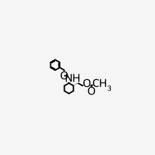 CC(=O)OCC[C@@H]1CCCC[C@H]1NOCc1ccccc1